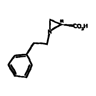 O=C(O)[C@@H]1CN1CCc1ccccc1